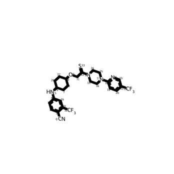 N#Cc1ccc(NC2CCC(OCC(=S)N3CCN(c4ccc(C(F)(F)F)cn4)CC3)CC2)cc1C(F)(F)F